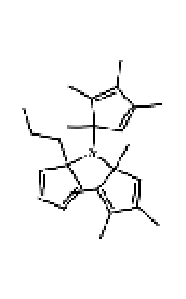 CCC[C]1([Zr]([C]2(C)C=C(C)C(C)=C2C)[C]2(C)C=C(C)C(C)=C2C)C=CC=C1